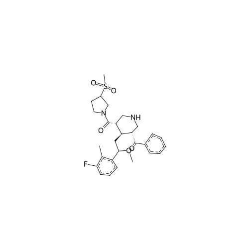 COC(C[C@@H]1[C@@H](C(=O)c2ccccc2)CNC[C@H]1C(=O)N1CCC(S(C)(=O)=O)C1)c1cccc(F)c1C